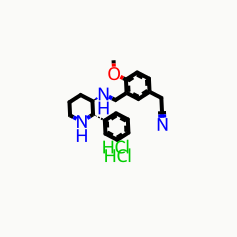 COc1ccc(CC#N)cc1CN[C@H]1CCCN[C@H]1c1ccccc1.Cl.Cl